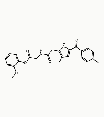 COc1ccccc1OC(=O)CNC(=O)Cc1[nH]c(C(=O)c2ccc(C)cc2)cc1C